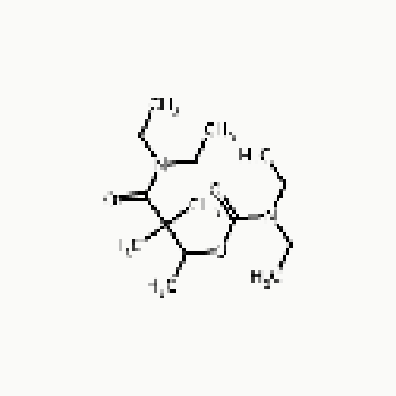 CCN(CC)C(=O)OC(C)C(C)(C)C(=O)N(CC)CC